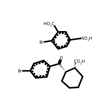 O=C(O)c1cc(S(=O)(=O)O)ccc1Br.O=C(c1ccc(Br)cc1)[C@H]1CCCC[C@H]1C(=O)O